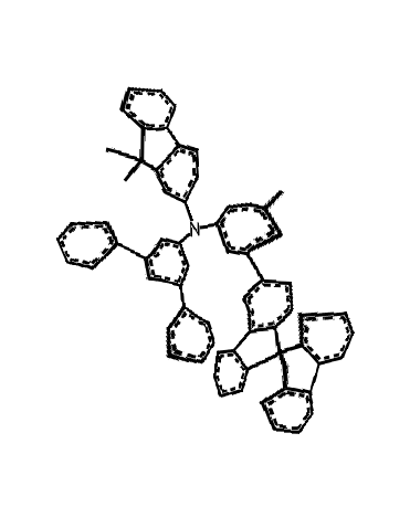 Cc1cc(-c2ccc3c(c2)-c2ccccc2C32c3ccccc3-c3ccccc32)cc(N(c2cc(-c3ccccc3)cc(-c3ccccc3)c2)c2ccc3c(c2)C(C)(C)c2ccccc2-3)c1